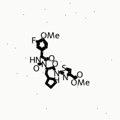 COC(=O)c1csc(NC(=O)C(CC2CCCC2)N2C(=O)NC(c3ccc(OC)c(F)c3)C2=O)n1